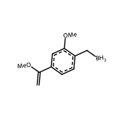 BCc1ccc(C(=C)OC)cc1OC